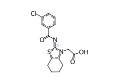 O=C(O)Cn1c2c(s/c1=N\C(=O)c1cccc(Cl)c1)CCCC2